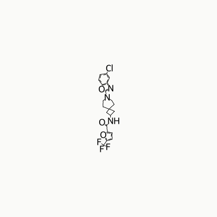 O=C(NC1CC2(CCN(c3nc4cc(Cl)ccc4o3)CC2)C1)c1ccc(C(F)(F)F)o1